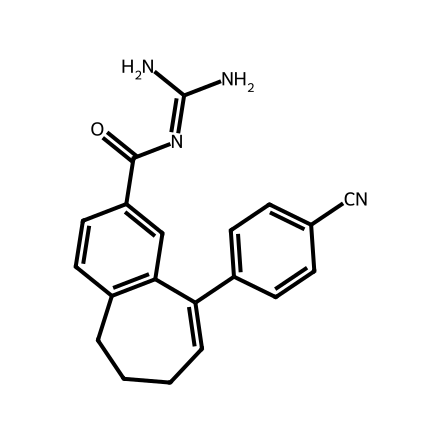 N#Cc1ccc(C2=CCCCc3ccc(C(=O)N=C(N)N)cc32)cc1